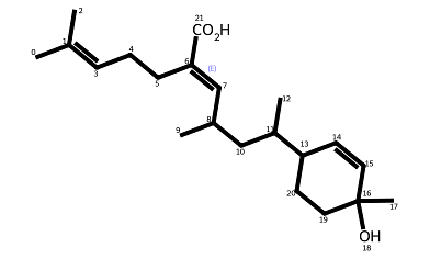 CC(C)=CCC/C(=C\C(C)CC(C)C1C=CC(C)(O)CC1)C(=O)O